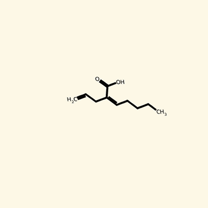 C=CCC(=CCCCC)C(=O)O